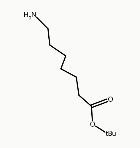 CC(C)(C)OC(=O)CCCCCCN